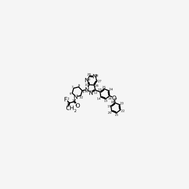 C=C(F)C(=O)N1CCCC(n2nc(-c3ccc(Oc4ccccc4)cc3)c3cncnc32)C1